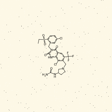 CCS(=O)(=O)c1ccc(Cl)cc1Cn1c(=O)[nH]c2c(Cl)c(CN3CCC(NC(N)=O)C3)c(C(F)(F)F)cc2c1=O